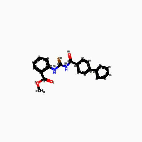 COC(=O)c1ccccc1NC(=S)NC(=O)c1ccc(-c2ccccc2)cc1